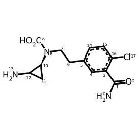 NC(=O)c1cc(CCN(C(=O)O)[C@H]2CC2N)ccc1Cl